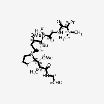 CC[C@H](C)[C@@H]([C@@H](CC(=O)N1CCC[C@H]1[C@H](OC)[C@@H](C)C(=O)NCC=O)OC)N(C)C(=O)CNC(=O)C(C(C)C)N(C)C